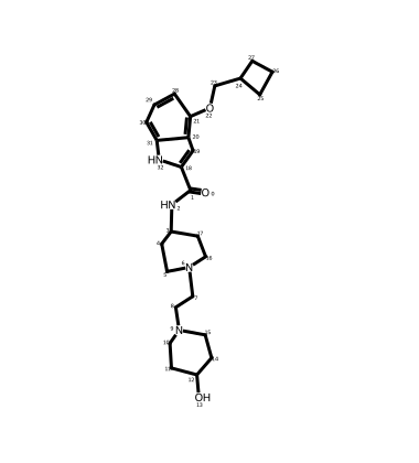 O=C(NC1CCN(CCN2CCC(O)CC2)CC1)c1cc2c(OCC3CCC3)cccc2[nH]1